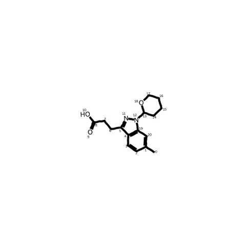 Cc1ccc2c(CCC(=O)O)nn(C3CCCCO3)c2c1